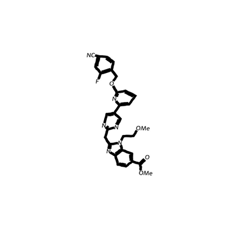 COCCn1c(Cc2ncc(-c3cccc(OCc4ccc(C#N)cc4F)n3)cn2)nc2ccc(C(=O)OC)cc21